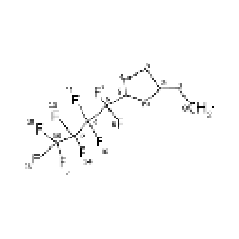 [CH2]CC1C[CH]C(C(F)(F)C(F)(F)C(F)(F)C(F)(F)F)C1